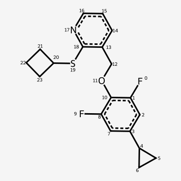 Fc1cc(C2CC2)cc(F)c1OCc1cccnc1SC1CCC1